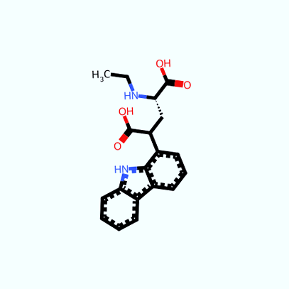 CCN[C@@H](CC(C(=O)O)c1cccc2c1[nH]c1ccccc12)C(=O)O